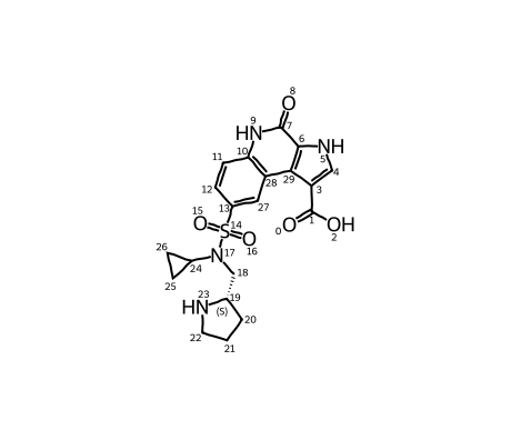 O=C(O)c1c[nH]c2c(=O)[nH]c3ccc(S(=O)(=O)N(C[C@@H]4CCCN4)C4CC4)cc3c12